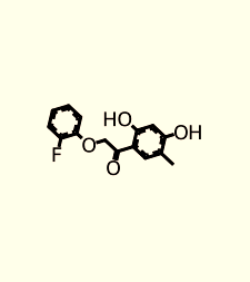 Cc1cc(C(=O)COc2ccccc2F)c(O)cc1O